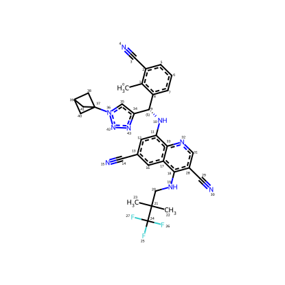 Cc1c(C#N)cccc1[C@H](Nc1cc(C#N)cc2c(NCC(C)(C)C(F)(F)F)c(C#N)cnc12)c1cn(C23CC(C2)C3)nn1